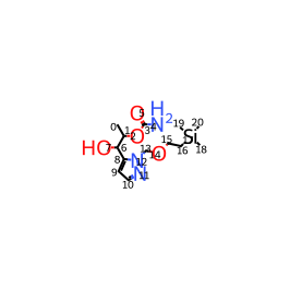 CC(OC(N)=O)C(O)c1ccnn1COCC[Si](C)(C)C